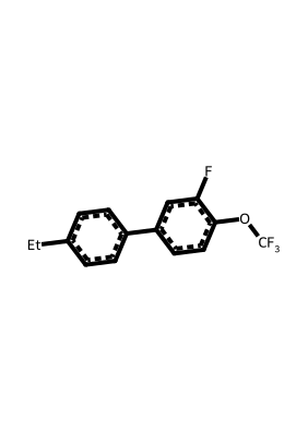 CCc1ccc(-c2ccc(OC(F)(F)F)c(F)c2)cc1